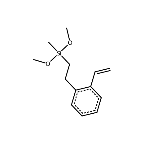 C=Cc1ccccc1CC[Si](C)(OC)OC